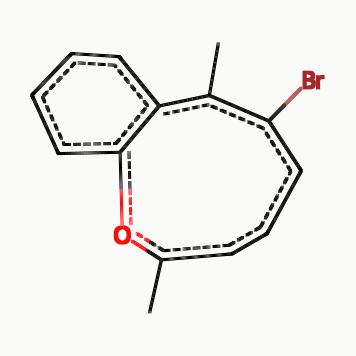 Cc1cccc(Br)c(C)c2ccccc2o1